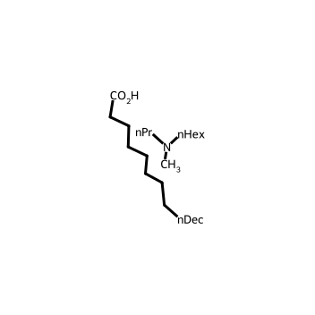 CCCCCCCCCCCCCCCCCC(=O)O.CCCCCCN(C)CCC